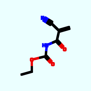 C=C(C#N)C(=O)NC(=O)OCC